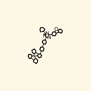 c1ccc(-c2nc(-c3ccc(-c4ccc(-c5cccc6c5-c5ccccc5C65c6ccccc6-c6ccccc65)cc4)cc3)nc(-c3ccc4c(c3)oc3ccccc34)n2)cc1